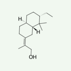 CC[C@H]1CC[C@@H]2CCC(=C(C)CO)C[C@H]2C1(C)C